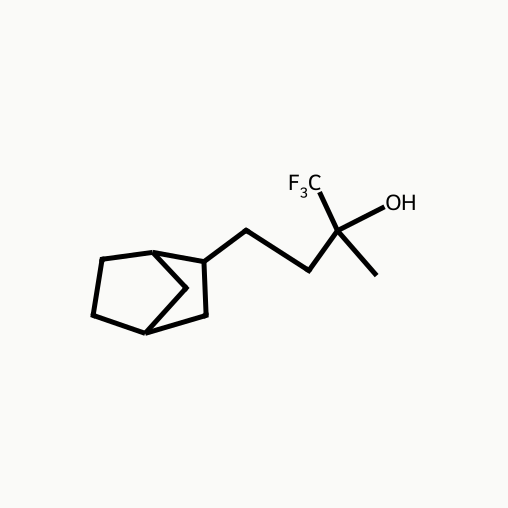 CC(O)(CCC1CC2CCC1C2)C(F)(F)F